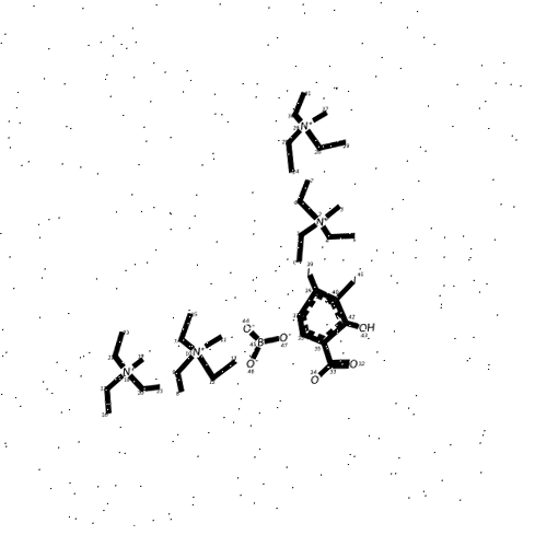 CC[N+](C)(CC)CC.CC[N+](C)(CC)CC.CC[N+](C)(CC)CC.CC[N+](C)(CC)CC.O=C([O-])c1ccc(I)c(I)c1O.[O-]B([O-])[O-]